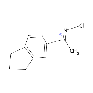 C/[N+](=N\Cl)c1ccc2c(c1)CCC2